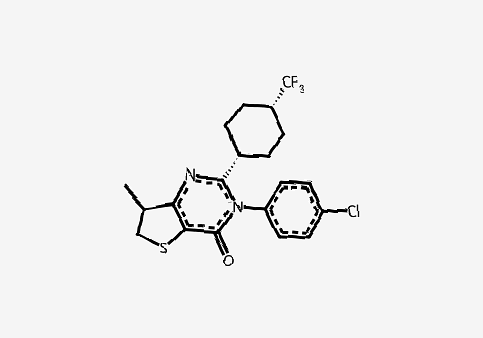 CC1CSc2c1nc([C@H]1CC[C@@H](C(F)(F)F)CC1)n(-c1ccc(Cl)cc1)c2=O